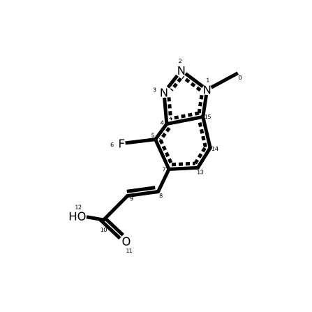 Cn1nnc2c(F)c(C=CC(=O)O)ccc21